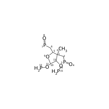 CC1(CP=O)C(CP=O)OC(OP)C1OP